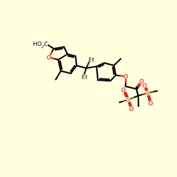 CCC(CC)(c1ccc(OCC(=O)C(C)(S(C)(=O)=O)S(C)(=O)=O)c(C)c1)c1cc(C)c2oc(C(=O)O)cc2c1